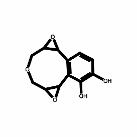 Oc1ccc2c(c1O)C1OC1COCC1OC21